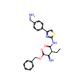 CCC(C(=N)C(=O)OCc1ccccc1)C(=O)Nc1nc(-c2ccc(CN)cc2)cs1